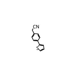 N#CCc1ccc(-c2cccs2)cc1